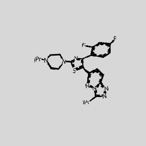 CC(C)c1nnc2ccc(-c3sc(N4CCN(C(C)C)CC4)nc3-c3ccc(F)cc3F)nn12